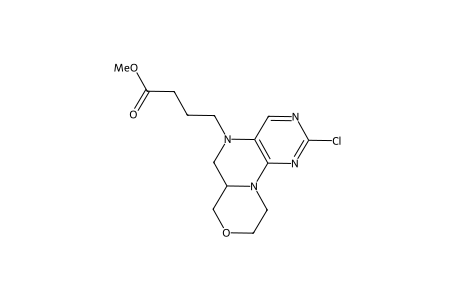 COC(=O)CCCN1CC2COCCN2c2nc(Cl)ncc21